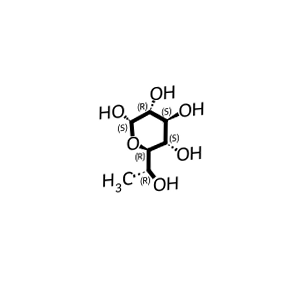 C[C@@H](O)[C@H]1O[C@H](O)[C@H](O)[C@@H](O)[C@@H]1O